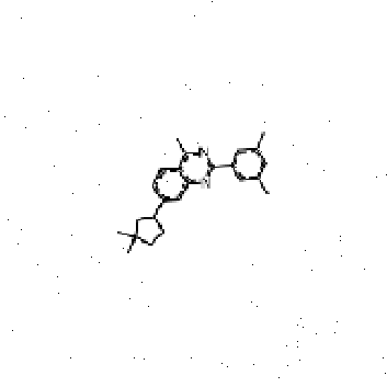 Cc1cc(C)cc(-c2nc(C)c3ccc(C4CCC(C)(C)C4)cc3n2)c1